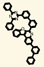 c1ccc(-c2cccc(-c3ccc4c(c3)nc(-c3cccc(-c5cccc(-c6nc(-c7ccccc7)nc(-c7ccccc7)n6)c5)c3)c3oc5ccccc5c34)c2)cc1